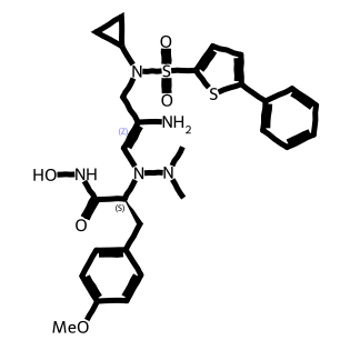 COc1ccc(C[C@@H](C(=O)NO)N(/C=C(\N)CN(C2CC2)S(=O)(=O)c2ccc(-c3ccccc3)s2)N(C)C)cc1